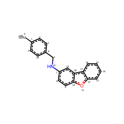 CC(C)(C)c1ccc(CNc2ccc3oc4ccccc4c3c2)cc1